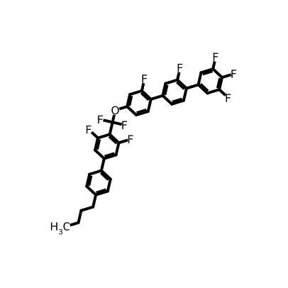 CCCCc1ccc(-c2cc(F)c(C(F)(F)Oc3ccc(-c4ccc(-c5cc(F)c(F)c(F)c5)c(F)c4)c(F)c3)c(F)c2)cc1